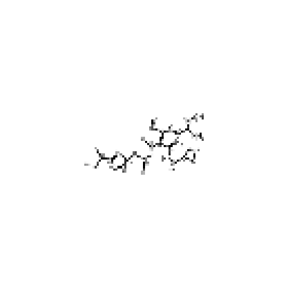 C=Nc1nc(/C(N)=N/O)nc(N[C@H](C)C2CCC2)c1N(C)CN(C)Cc1noc(C(C)CC)n1